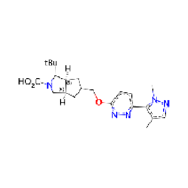 Cc1cnn(C)c1-c1ccc(OCC2C[C@H]3CN(C(=O)O)C(C(C)(C)C)[C@H]3C2)nn1